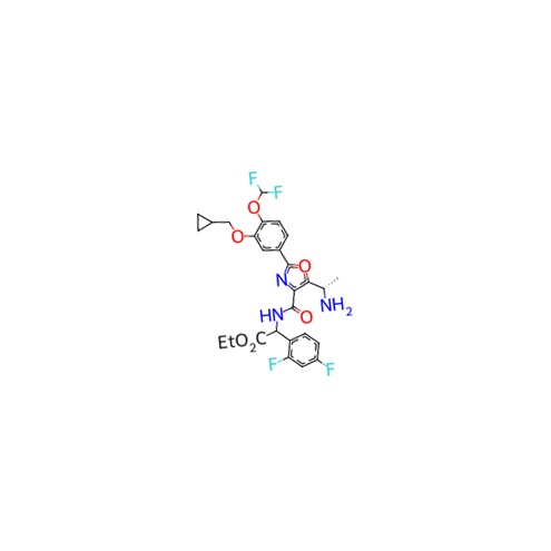 CCOC(=O)C(NC(=O)c1nc(-c2ccc(OC(F)F)c(OCC3CC3)c2)oc1[C@H](C)N)c1ccc(F)cc1F